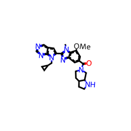 COc1cc(C(=O)N2CCC3CCNC3C2)cc2nc(-c3cc4cncnc4n3CC3CC3)n(C)c12